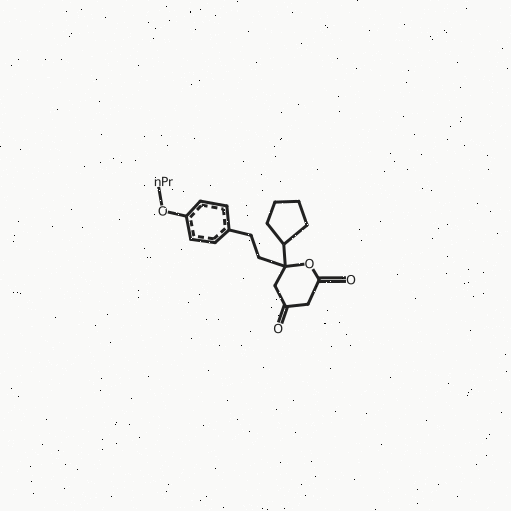 CCCOc1ccc(CCC2(C3CCCC3)CC(=O)CC(=O)O2)cc1